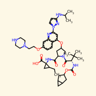 CCC1C[C@]1(NC(=O)C1CC(Oc2cc(-n3ccc(NC(C)C)n3)nc3cc(OCCN4CCNCC4)ccc23)CN1C(=O)[C@@H](NC(=O)OC1CC2CC2C1)C(C)(C)C)C(=O)O